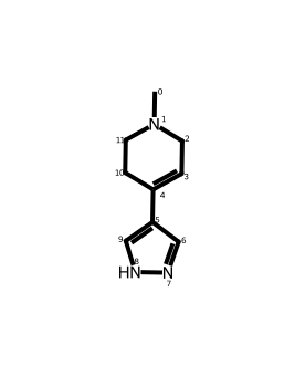 CN1CC=C(c2cn[nH]c2)CC1